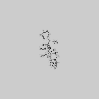 CO[C@@]1(NC(=O)C(N)c2ccccc2)C(=O)N2C(C(=O)O)=C(COC(C)=O)CS[C@H]21